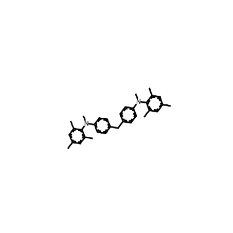 Cc1cc(C)c(N(C)c2ccc(Cc3ccc(N(C)c4c(C)cc(C)cc4C)cc3)cc2)c(C)c1